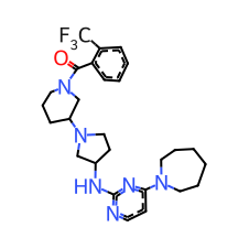 O=C(c1ccccc1C(F)(F)F)N1CCCC(N2CCC(Nc3nccc(N4CCCCCC4)n3)C2)C1